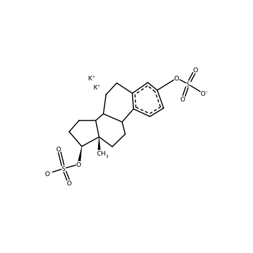 C[C@]12CCC3c4ccc(OS(=O)(=O)[O-])cc4CCC3C1CC[C@@H]2OS(=O)(=O)[O-].[K+].[K+]